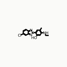 CCNc1cc(O)c(-n2nc3ccc(Cl)cc3n2)cc1C